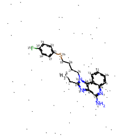 CCc1nc2c(N)nc3ccccc3c2n1CCCCSc1ccc(F)cc1